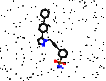 NS(=O)(=O)c1cccc(C#CCn2nccc2-c2ccc(-c3ccccc3)cc2)c1